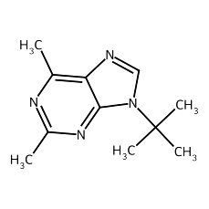 Cc1nc(C)c2ncn(C(C)(C)C)c2n1